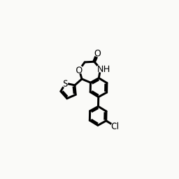 O=C1COC(c2cccs2)c2cc(-c3cccc(Cl)c3)ccc2N1